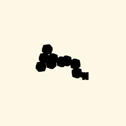 N#Cc1cccc(-c2cccc(-c3ccc4cc(-c5ccc6c7c(cccc57)-c5c(-c7ccccc7)ccc(-c7ccccc7)c5-6)ccc4c3)c2)c1